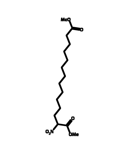 COC(=O)CCCCCCCCCCCC(C(=O)OC)[N+](=O)[O-]